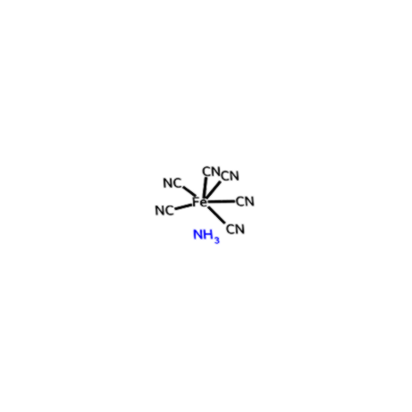 N.N#[C][Fe]([C]#N)([C]#N)([C]#N)([C]#N)[C]#N